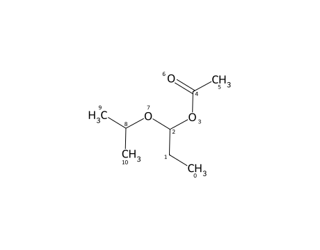 CCC(OC(C)=O)OC(C)C